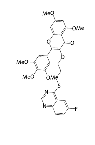 COc1cc(OC)c2c(=O)c(OCCCSc3ncnc4ccc(F)cc34)c(-c3cc(OC)c(OC)c(OC)c3)oc2c1